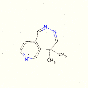 CC1(C)C=NN=Cc2ccncc21